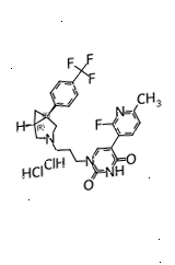 Cc1ccc(-c2cn(CCCN3C[C@@H]4C[C@]4(c4ccc(C(F)(F)F)cc4)C3)c(=O)[nH]c2=O)c(F)n1.Cl.Cl